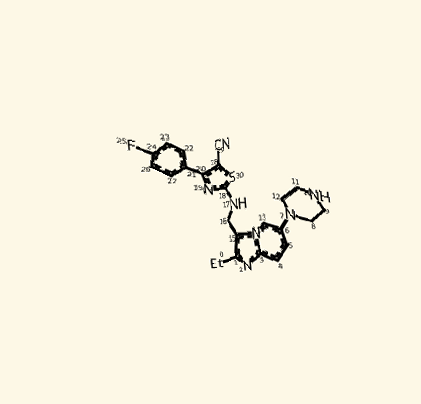 CCc1nc2ccc(N3CCNCC3)cn2c1CNc1nc(-c2ccc(F)cc2)c(C#N)s1